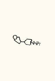 CC(C)N1CCC(C2CCOC2)CC1